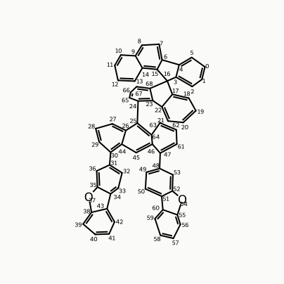 c1ccc2c(c1)-c1ccc3ccccc3c1C21c2ccccc2-c2c(-c3c4cccc(-c5ccc6c(c5)oc5ccccc56)c4cc4c(-c5ccc6c(c5)oc5ccccc56)cccc34)cccc21